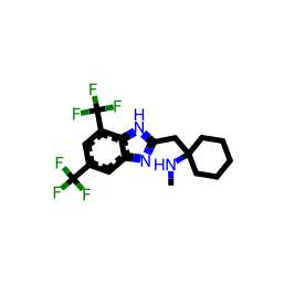 CNC1(Cc2nc3cc(C(F)(F)F)cc(C(F)(F)F)c3[nH]2)CCCCC1